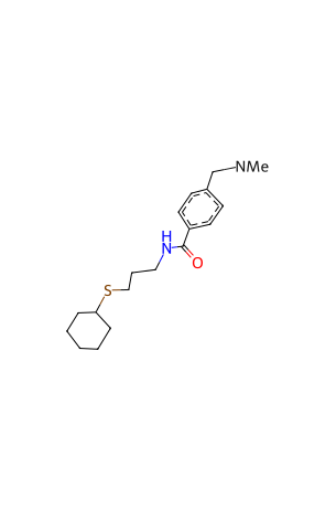 CNCc1ccc(C(=O)NCCCSC2CCCCC2)cc1